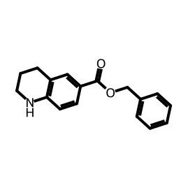 O=C(OCc1ccccc1)c1ccc2c(c1)CCCN2